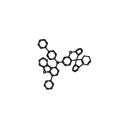 C1=CC2=C(CC1)C1(c3ccccc3Oc3cc(N(c4ccc(-c5ccccc5)cc4)c4ccc(-c5ccccc5)c5oc6ccccc6c45)ccc31)c1ccccc12